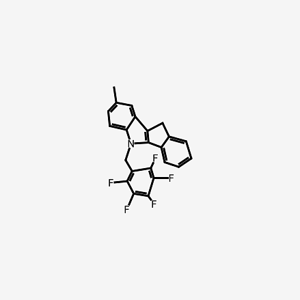 Cc1ccc2c(c1)c1c(n2Cc2c(F)c(F)c(F)c(F)c2F)-c2ccccc2C1